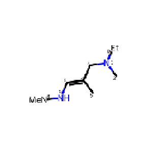 CCN(C)C/C(C)=C/NNC